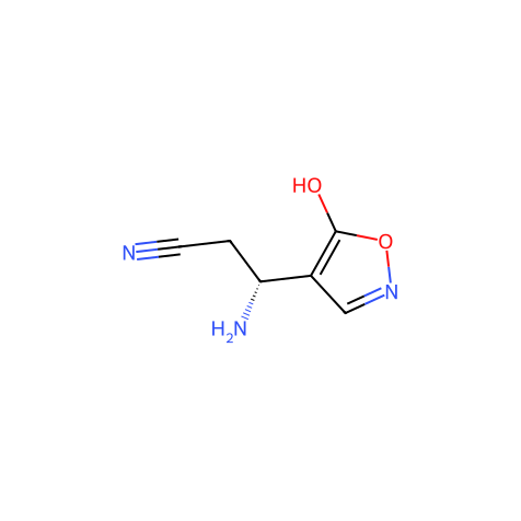 N#CC[C@@H](N)c1cnoc1O